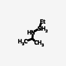 CC[SiH2]NC(C)C